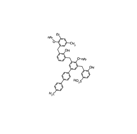 CCCOc1c(CC)cc(C)cc1Cc1cccc(Cc2cc(-c3ccc(-c4ccc(C)cc4)cc3)cc(Cc3cc(S(=O)(=O)O)ccc3O)c2OCCC)c1O